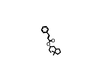 CCC(CC1CCCC1(C)C)OC(=O)/C=C/c1ccccc1